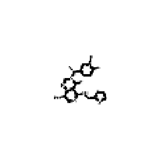 C[C@@H](c1ccc(F)c(F)c1)n1cnc2c(Br)cnc(NCc3cccs3)c2c1=O